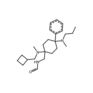 CCCN(C)C1(c2ccccc2)CCC(CNC=O)(N(C)CC2CCC2)CC1